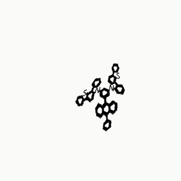 c1ccc(-c2c3ccccc3c(-c3cc(-n4c5ccccc5c5c6sc7ccccc7c6ccc54)cc(-n4c5ccccc5c5c6sc7ccccc7c6ccc54)c3)c3ccccc23)cc1